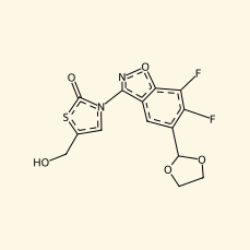 O=c1sc(CO)cn1-c1noc2c(F)c(F)c(C3OCCO3)cc12